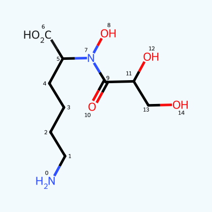 NCCCCC(C(=O)O)N(O)C(=O)C(O)CO